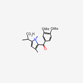 COc1ccc(C(=O)c2c(C)cc(C(C)C(=O)O)n2C)cc1OC